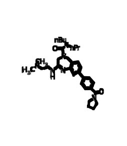 CCCCN(CCC)C(=O)N1CC(NCCN(C)C)=Nc2cc(-c3ccc(C(=O)N4CCCC4)cc3)ccc2C1